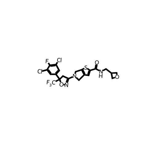 O=C(NCC1COC1)c1cc2c(s1)CN(C1=NOC(c3cc(Cl)c(F)c(Cl)c3)(C(F)(F)F)C1)C2